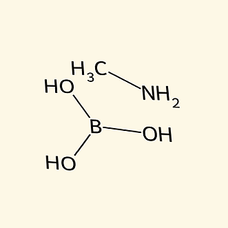 CN.OB(O)O